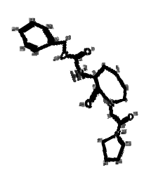 O=C(N[C@H]1CCCCN(CC(=O)N2CCCC2)C1=O)OCc1ccccc1